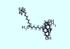 CN(CCCCCCCC(F)(F)C(F)(F)F)CCCCCC[C@@H]1Cc2cc(O)ccc2[C@@H]2[C@@H]1[C@@H]1CCC(O)[C@@]1(C)C[C@@H]2F